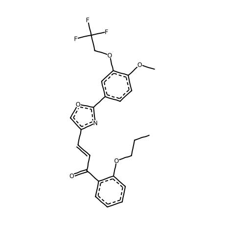 CCCOc1ccccc1C(=O)C=Cc1coc(-c2ccc(OC)c(OCC(F)(F)F)c2)n1